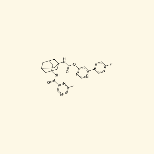 Cc1cncc(C(=O)NC23CC4CC(CC(NC(=O)Oc5cc(-c6ccc(F)cc6)ncn5)(C4)C2)C3)n1